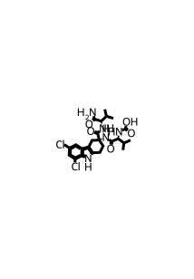 CC(C)[C@H](NC(=O)[C@@]1(NC(=O)[C@@H](NC(=O)O)C(C)C)CCc2[nH]c3c(Cl)cc(Cl)cc3c2C1)C(N)=O